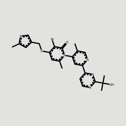 Cc1cc(COc2cc(C)n(-c3cc(-c4ccnc(C(C)(C)O)n4)ncc3C)c(=O)c2Br)cs1